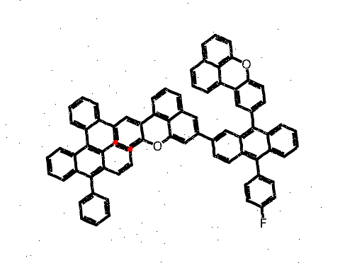 Fc1ccc(-c2c3ccccc3c(-c3ccc4c(c3)-c3cccc5cccc(c35)O4)c3cc(-c4cc5c6c(cccc6c4)-c4cc(-c6ccccc6-c6c7ccccc7c(-c7ccccc7)c7ccccc67)ccc4O5)ccc23)cc1